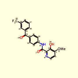 COc1ccnc(C(=O)Nc2ccc(C(=O)c3cccc(C(F)(F)F)c3)cc2)c1O